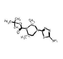 C[C@@H]1CN(c2nnc(N)s2)C[C@H](C)N1C(=O)OC(C)(C)C